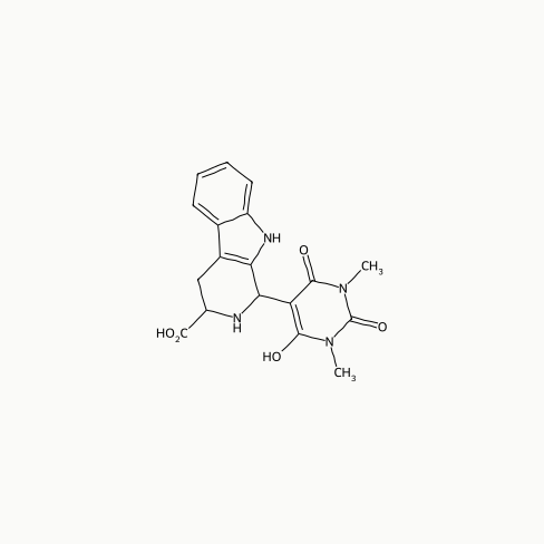 Cn1c(O)c(C2NC(C(=O)O)Cc3c2[nH]c2ccccc32)c(=O)n(C)c1=O